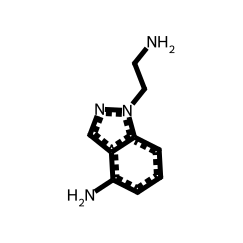 NCCn1ncc2c(N)cccc21